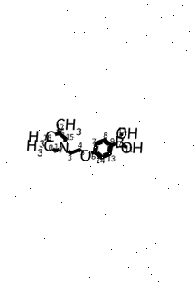 CCN(CCOc1ccc(B(O)O)cc1)CC(C)C